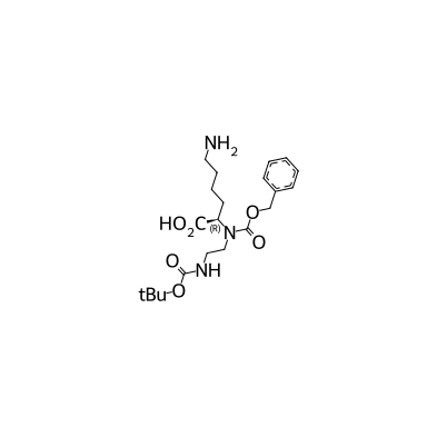 CC(C)(C)OC(=O)NCCN(C(=O)OCc1ccccc1)[C@H](CCCCN)C(=O)O